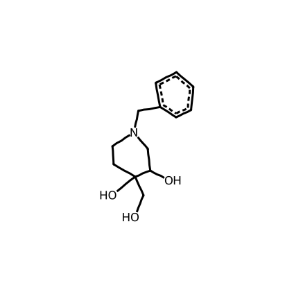 OCC1(O)CCN(Cc2ccccc2)CC1O